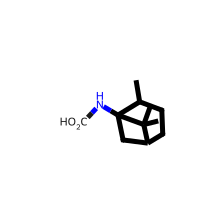 CC1CCC2CC1(NC(=O)O)C2(C)C